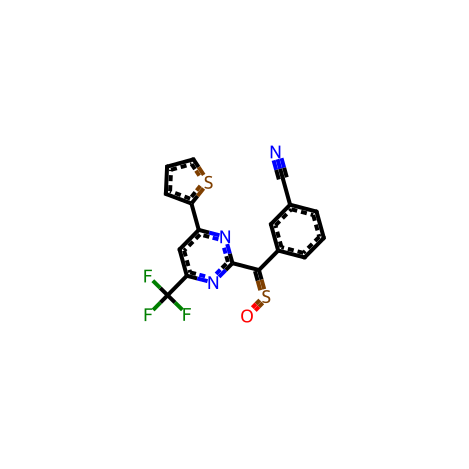 N#Cc1cccc(C(=S=O)c2nc(-c3cccs3)cc(C(F)(F)F)n2)c1